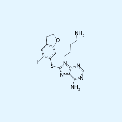 NCCCCn1c(Sc2cc3c(cc2I)CCO3)nc2c(N)ncnc21